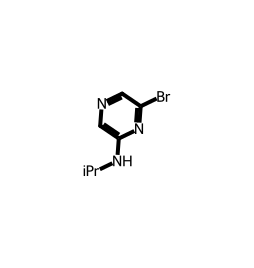 CC(C)Nc1cncc(Br)n1